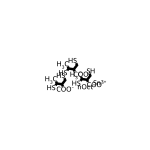 CC(S)C(CS)C(=O)[O-].CC(S)C(CS)C(=O)[O-].CC(S)C(CS)C(=O)[O-].CCCCCCC[CH2][Sn+3]